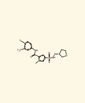 Cn1cc(S(=O)(=O)NS[C@H]2CCOC2)cc1C(=O)Nc1ccc(F)c(C(F)(F)F)c1